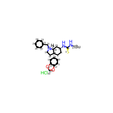 CC(C)(C)NC(=S)N[C@@H]1CC[C@@]2(c3ccc4c(c3)OCO4)CCN(Cc3ccccc3)[C@H]2C1.Cl